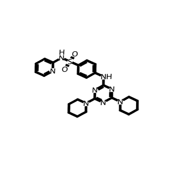 O=S(=O)(Nc1ccccn1)c1ccc(Nc2nc(N3CCCCC3)nc(N3CCCCC3)n2)cc1